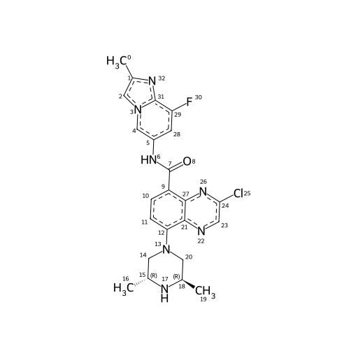 Cc1cn2cc(NC(=O)c3ccc(N4C[C@@H](C)N[C@H](C)C4)c4ncc(Cl)nc34)cc(F)c2n1